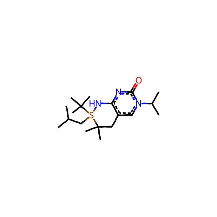 CC(C)CS1(C(C)(C)C)Nc2nc(=O)n(C(C)C)cc2CC1(C)C